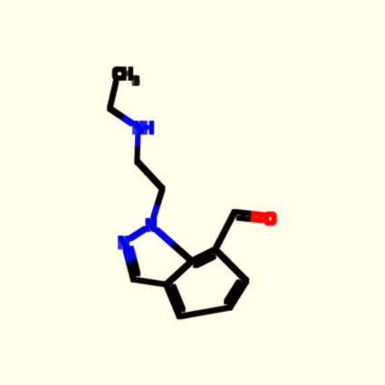 CCNCCn1ncc2cccc(C=O)c21